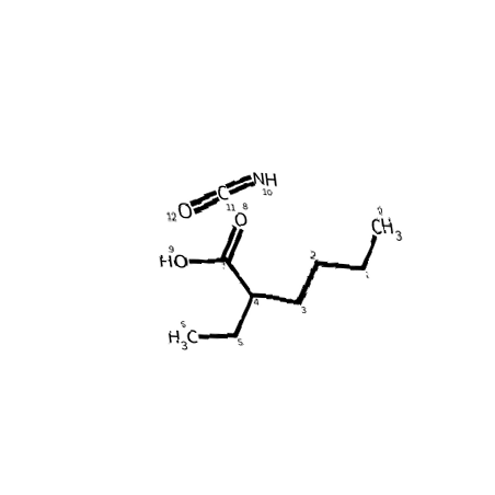 CCCCC(CC)C(=O)O.N=C=O